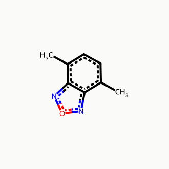 Cc1ccc(C)c2nonc12